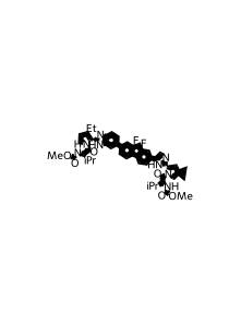 CC[C@@H]1CCN(C(=O)[C@@H](NC(=O)OC)C(C)C)[C@@H]1c1nc2ccc(-c3ccc4c(c3)C(F)(F)c3cc(-c5cnc([C@@H]6CC7(CC7)CN6C(=O)C(NC(=O)OC)C(C)C)[nH]5)ccc3-4)cc2[nH]1